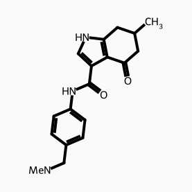 CNCc1ccc(NC(=O)c2c[nH]c3c2C(=O)CC(C)C3)cc1